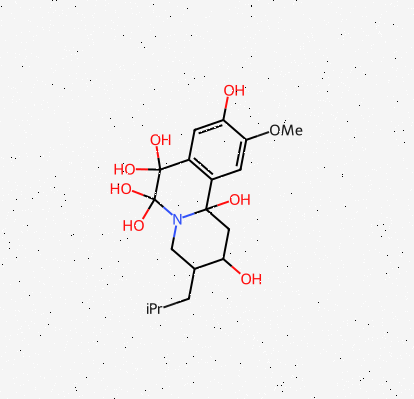 COc1cc2c(cc1O)C(O)(O)C(O)(O)N1CC(CC(C)C)C(O)CC21O